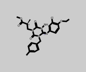 CCOc1ccc(/N=c2\n(N)c(=O)n(C[C@H](C)C(=O)OC)c(=O)n2Cc2ccc(C)cc2)cc1Cl